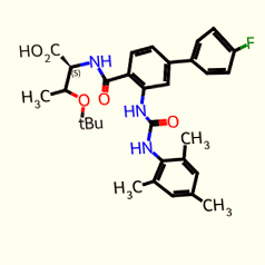 Cc1cc(C)c(NC(=O)Nc2cc(-c3ccc(F)cc3)ccc2C(=O)N[C@H](C(=O)O)C(C)OC(C)(C)C)c(C)c1